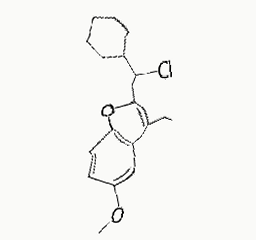 COc1ccc2oc(C(Cl)C3CCCCC3)c(C)c2c1